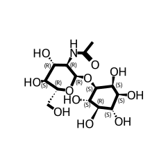 CC(=O)N[C@H]1[C@@H](O[C@@H]2[C@@H](O)[C@H](O)[C@@H](O)[C@H](O)[C@@H]2O)O[C@H](CO)[C@@H](O)[C@@H]1O